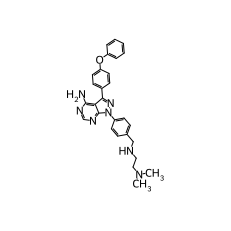 CN(C)CCNCc1ccc(-n2nc(-c3ccc(Oc4ccccc4)cc3)c3c(N)ncnc32)cc1